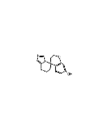 Oc1ccc2c(c1)OCCC21CCCc2cncn21